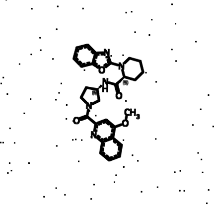 COc1cc(C(=O)N2CC[C@H](NC(=O)[C@@H]3CCCCN3c3nc4ccccc4o3)C2)nc2ccccc12